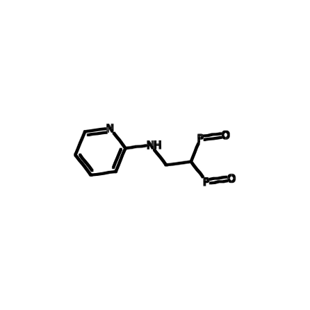 O=PC(CNc1ccccn1)P=O